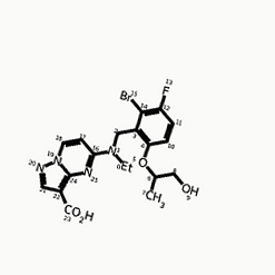 CCN(Cc1c(OC(C)CO)ccc(F)c1Br)c1ccn2ncc(C(=O)O)c2n1